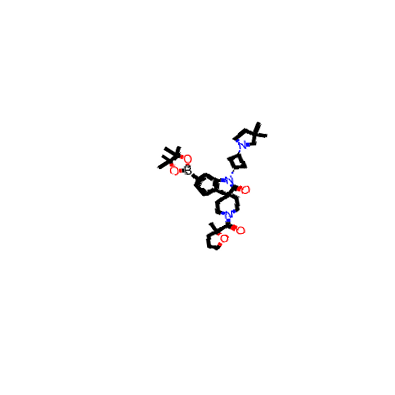 CC1(C)CCN([C@H]2C[C@@H](N3C(=O)C4(CCN(C(=O)C5(C)CCCO5)CC4)c4ccc(B5OC(C)(C)C(C)(C)O5)cc43)C2)C1